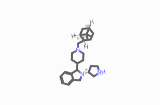 CC1(C)[C@H]2CC[C@@H](CN3CCC(C4c5ccccc5CN4[C@@H]4CCNC4)CC3)[C@H]1C2